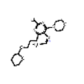 C/C=N\c1c(CCCOC2CCCCO2)nc(Cl)nc1N1CCOCC1